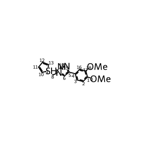 COc1ccc(-c2cn(C[SH]3C=CC=C3)nn2)cc1OC